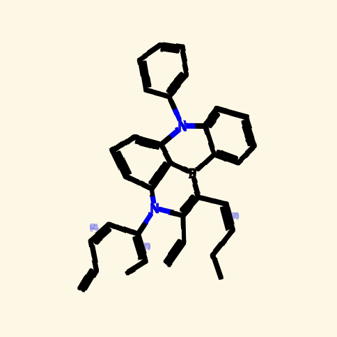 C=C/C=C\C(=C/C)N1C(C=C)=C(/C=C\CC)B2c3ccccc3N(c3ccccc3)c3cccc1c32